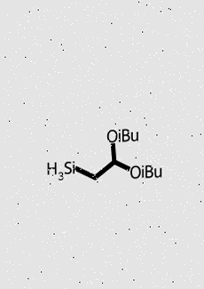 CC(C)COC(C[SiH3])OCC(C)C